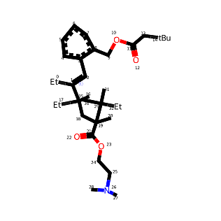 CC/C(=C\c1ccccc1COC(=O)CC(C)(C)C)C(C)(CC)CC(C)(C(=O)OCCN(C)C)C(C)(C)CC